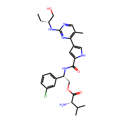 CC[C@H](CO)Nc1ncc(C)c(-c2c[nH]c(C(=O)N[C@H](COC(=O)[C@@H](N)C(C)C)c3cccc(Cl)c3)c2)n1